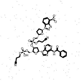 N#CCCOP(=O)(O)OC[C@H]1O[C@@H](n2cnc3c(NC(=O)c4ccccc4)ncnc32)C[C@@H]1OP(=O)(OCCC#N)OC[C@@H]1CC[C@H](n2nnc3c([N+](=O)[O-])cccc32)O1